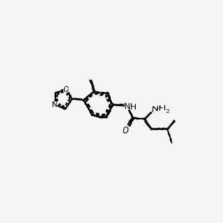 Cc1cc(NC(=O)C(N)CC(C)C)ccc1-c1cnco1